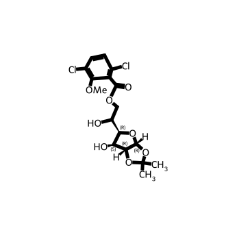 COc1c(Cl)ccc(Cl)c1C(=O)OCC(O)[C@H]1O[C@@H]2OC(C)(C)O[C@@H]2[C@H]1O